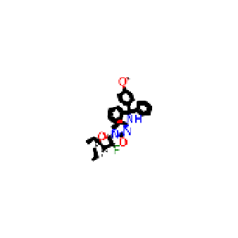 CCC[C@]1(CC)O[C@@H](n2ccc(NC(c3ccccc3)(c3ccccc3)c3ccc(OC)cc3)nc2=O)[C@H](F)[C@@H]1C